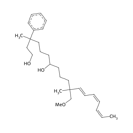 C\C=C/C=C\C=C\C(C)(CCCC(O)CCCC(C)(CCO)c1ccccc1)COC